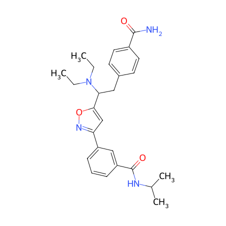 CCN(CC)C(Cc1ccc(C(N)=O)cc1)c1cc(-c2cccc(C(=O)NC(C)C)c2)no1